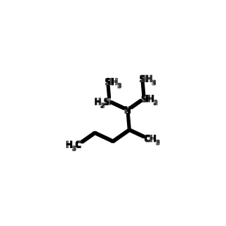 CCCC(C)N([SiH2][SiH3])[SiH2][SiH3]